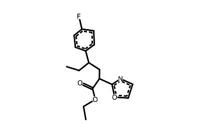 CCOC(=O)C(CC(CC)c1ccc(F)cc1)c1ncco1